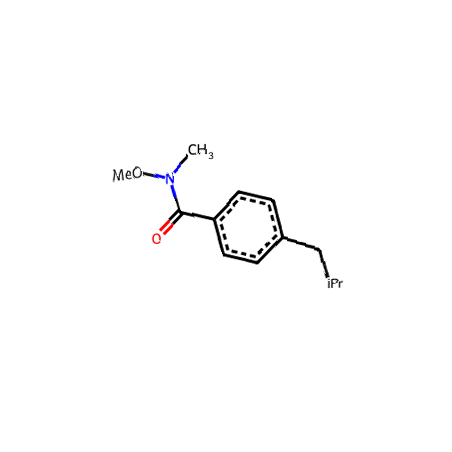 CON(C)C(=O)c1ccc(CC(C)C)cc1